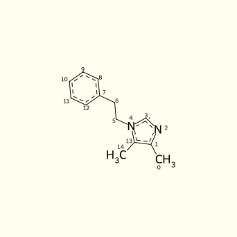 Cc1n[c]n(CCc2ccccc2)c1C